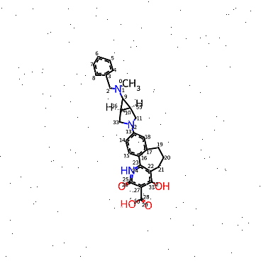 CN(Cc1ccccc1)C1[C@H]2CN(c3ccc4c(c3)CCCc3c-4[nH]c(=O)c(C(=O)O)c3O)C[C@@H]12